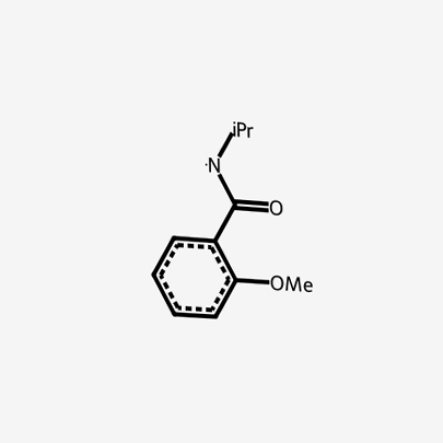 COc1ccccc1C(=O)[N]C(C)C